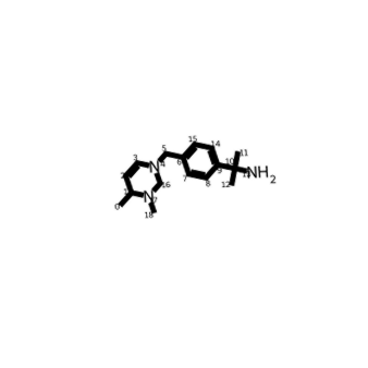 CC1C=CN(Cc2ccc(C(C)(C)N)cc2)CN1C